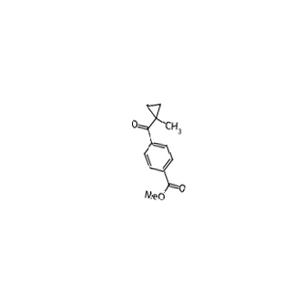 COC(=O)c1ccc(C(=O)C2(C)CC2)cc1